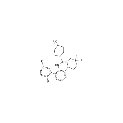 O=C(Nc1c(-c2cc(F)ccc2F)ccnc1C1CCC(F)(F)CC1)[C@H]1CC[C@@H](C(F)(F)F)CC1